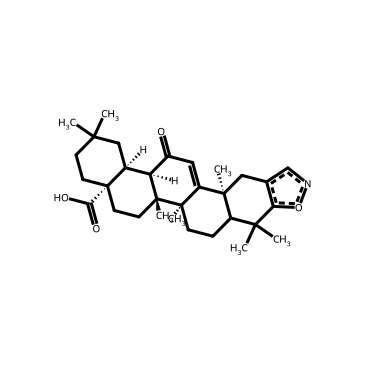 CC1(C)CC[C@]2(C(=O)O)CC[C@]3(C)[C@H](C(=O)C=C4[C@@]5(C)Cc6cnoc6C(C)(C)C5CC[C@]43C)[C@@H]2C1